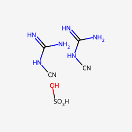 N#CNC(=N)N.N#CNC(=N)N.O=S(=O)(O)O